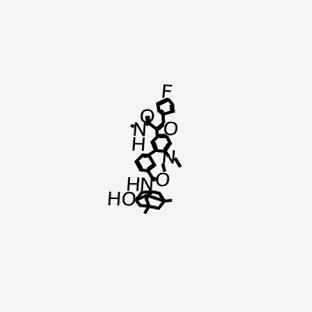 CCN(CC)c1cc2oc(-c3ccc(F)cc3)c(C(=O)NC)c2cc1-c1cccc(C(=O)NC23CC4(C)CC(C)(CC(O)(C4)C2)C3)c1